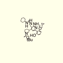 C=C(NCc1c(C2CCCN(C(=C)OC(C)(C)C)C2)cc(-c2c(O)cccc2OCC2CC2)nc1N)NC1CCCCC1